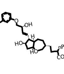 CCCC(CC[C@H]1CC[C@@H]2[C@@H](C=C[C@@H](O)COc3cccc(Cl)c3)[C@H](O)C[C@@H]2OC1)C(=O)O